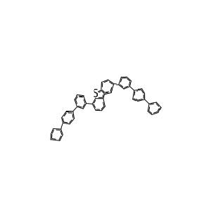 c1ccc(-c2ccc(-c3cccc(-c4ccc5sc6c(-c7cccc(-c8ccc(-c9ccccc9)cc8)c7)cccc6c5c4)c3)cc2)cc1